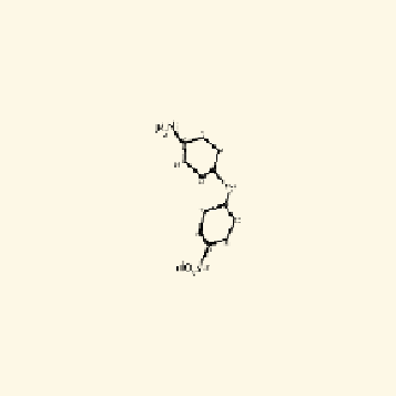 NC1CCC(OC2CCC(S(=O)(=O)O)CC2)CC1